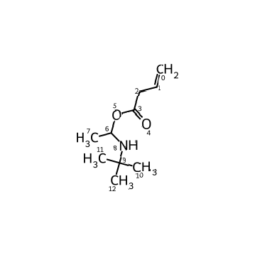 C=CCC(=O)OC(C)NC(C)(C)C